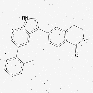 Cc1ccccc1-c1cnc2[nH]cc(-c3ccc4c(c3)CCNC4=O)c2c1